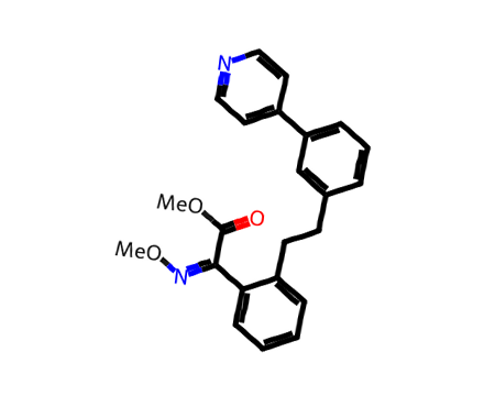 CO/N=C(\C(=O)OC)c1ccccc1CCc1cccc(-c2ccncc2)c1